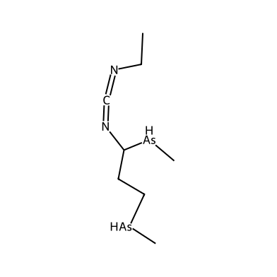 CCN=C=NC(CC[AsH]C)[AsH]C